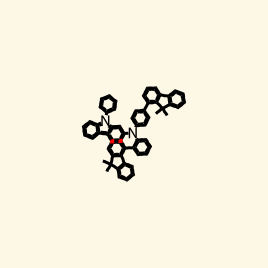 CC1(C)c2ccccc2-c2c(-c3ccccc3N(c3ccc(-c4cccc5c4C(C)(C)c4ccccc4-5)cc3)c3ccc4c5ccccc5n(-c5ccccc5)c4c3)cccc21